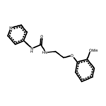 COc1c[c]ccc1OCCNC(=O)Nc1ccncc1